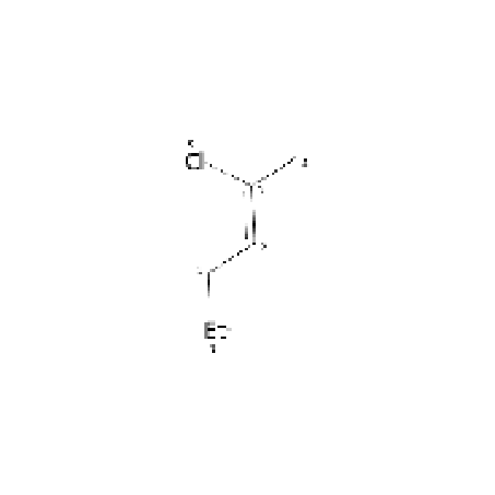 C[CH]CC=C(C)Cl